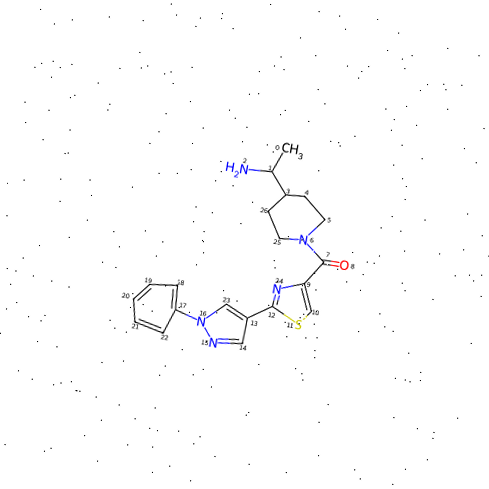 CC(N)C1CCN(C(=O)c2csc(-c3cnn(-c4ccccc4)c3)n2)CC1